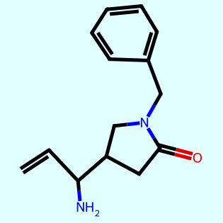 C=CC(N)C1CC(=O)N(Cc2ccccc2)C1